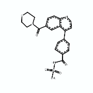 CS(=O)(=O)NC(=O)c1ccc(-c2ccnc3ccc(C(=O)N4CCOCC4)cc23)cc1